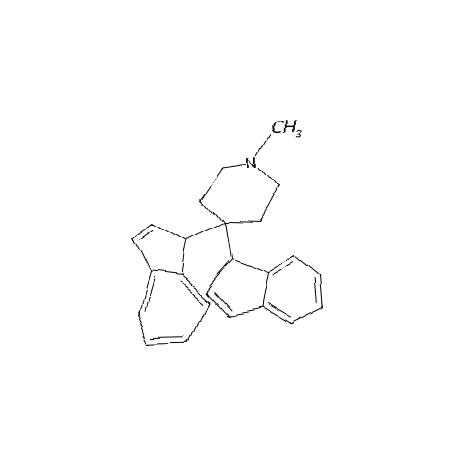 CN1CCC(C2C=Cc3ccccc32)(C2C=Cc3ccccc32)CC1